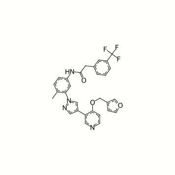 Cc1ccc(NC(=O)Cc2cccc(C(F)(F)F)c2)cc1-n1cc(-c2cnccc2OCc2ccoc2)cn1